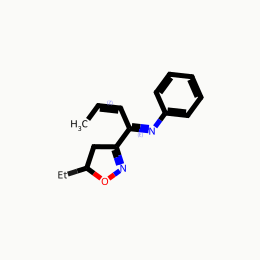 C/C=C\C(=N/c1ccccc1)C1=NOC(CC)C1